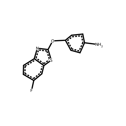 Nc1ccc(Oc2nc3ccc(F)cc3s2)cc1